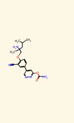 CC(C)CC(C)(N)COc1ccc(-c2cnnc(OC(N)=O)c2)cc1C#N